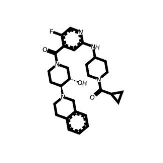 O=C(c1cc(NC2CCN(C(=O)C3CC3)CC2)ncc1F)N1CC[C@H](N2CCc3ccccc3C2)[C@@H](O)C1